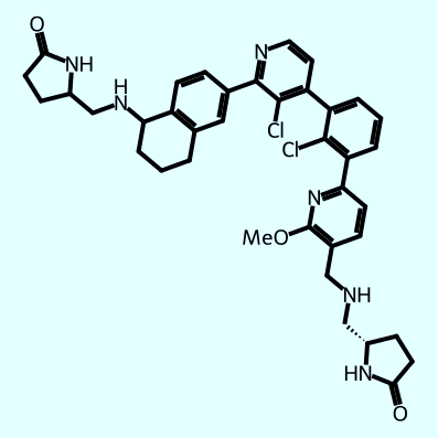 COc1nc(-c2cccc(-c3ccnc(-c4ccc5c(c4)CCCC5NCC4CCC(=O)N4)c3Cl)c2Cl)ccc1CNC[C@@H]1CCC(=O)N1